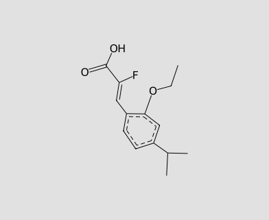 CCOc1cc(C(C)C)ccc1/C=C(\F)C(=O)O